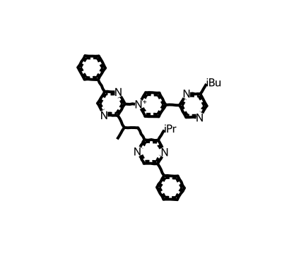 CCC(C)c1cncc(-c2cc[n+](-c3nc(-c4ccccc4)cnc3C(C)Cc3ncc(-c4ccccc4)nc3C(C)C)cc2)n1